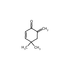 C=C1CC(C)(C)C=CC1=O